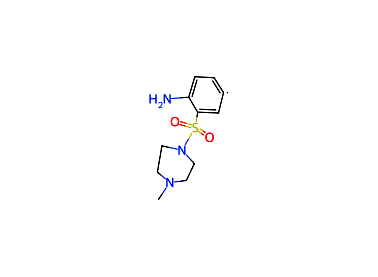 CN1CCN(S(=O)(=O)c2c[c]ccc2N)CC1